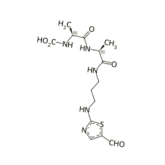 C[C@H](NC(=O)O)C(=O)N[C@@H](C)C(=O)NCCCNc1ncc(C=O)s1